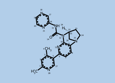 Cc1cc(C)c(-c2ccc3c(n2)N(C(=O)Nc2cnccn2)[C@H]2CCN3C2)cn1